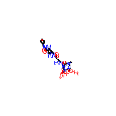 CCN1CCN(CC(=O)O)CCN(CC(=O)O)CCN(CC(=O)NCCCCC(=O)NCc2ccc(C(=O)NCc3ccc(C)cc3)cc2)CC1